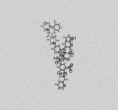 Cc1ccccc1[C@@H]1COCCN1C1CC2(CCN(c3ccc(C(=O)NS(=O)(=O)c4cc5c(c([N+](=O)[O-])c4)N[C@@H](Cc4ccccn4)CO5)c(N4c5cc6cc[nH]c6nc5O[C@H]5COCC[C@@H]54)c3)CC2)C1